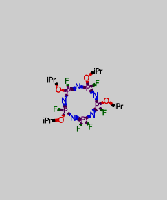 CC(C)OP1(F)=NP(F)(F)=NP(F)(OC(C)C)=NP(F)(OC(C)C)=NP(F)(OC(C)C)=N1